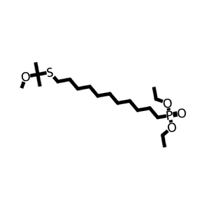 CCOP(=O)(CCCCCCCCCCCSC(C)(C)OC)OCC